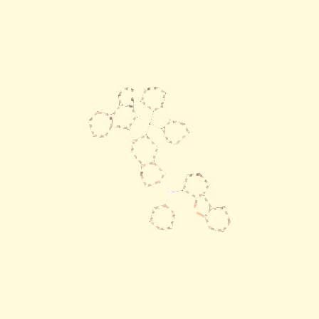 c1ccc(N(c2ccc3cc4c(cc3c2)C2(c3ccccc3-c3ccccc32)c2c-4c3ccccc3c3ccccc23)c2cccc3c2oc2ccccc23)cc1